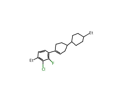 CCc1ccc(C2=CCC(C3CCC(CC)CC3)CC2)c(F)c1Cl